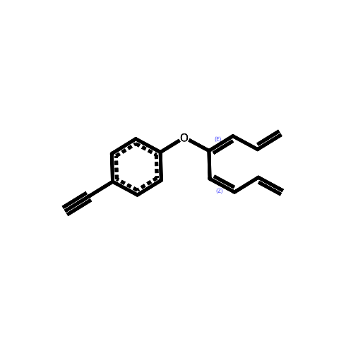 C#Cc1ccc(OC(/C=C\C=C)=C/C=C)cc1